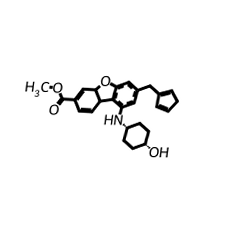 COC(=O)C1=CC2Oc3cc(CC4=CCC=C4)cc(N[C@H]4CC[C@@H](O)CC4)c3C2C=C1